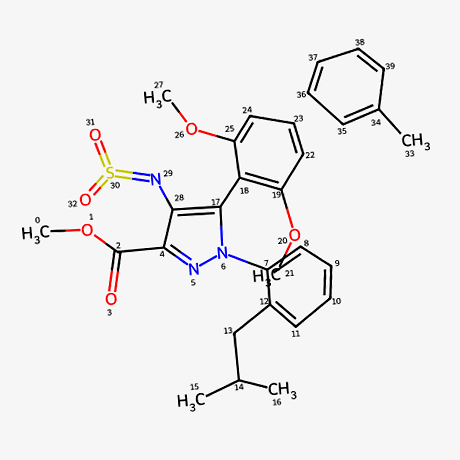 COC(=O)c1nn(-c2ccccc2CC(C)C)c(-c2c(OC)cccc2OC)c1N=S(=O)=O.Cc1ccccc1